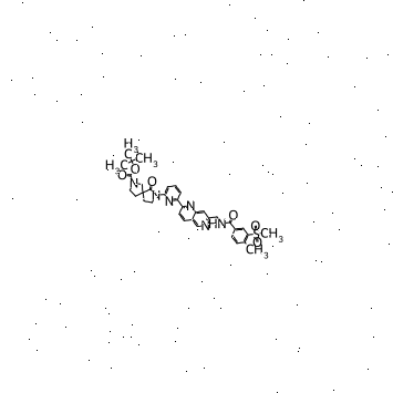 Cc1ccc(C(=O)NCc2cc3nc(-c4cccc(N5CCC6(CCN(C(=O)OC(C)(C)C)C6)C5=O)n4)ccc3cn2)cc1S(C)(=O)=O